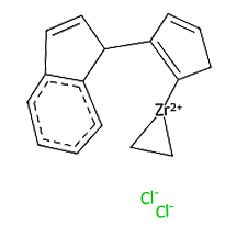 C1=CC(C2C=Cc3ccccc32)=[C]([Zr+2]2[CH2][CH2]2)C1.[Cl-].[Cl-]